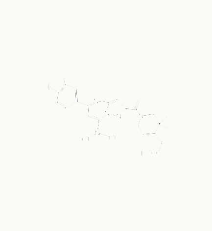 CCCN(c1cc(-c2cc(F)c(Cl)c(F)c2)nc2cc(C(=O)N3CCC(CC(=O)O)C(C)(C)C3)nn12)C(C)C